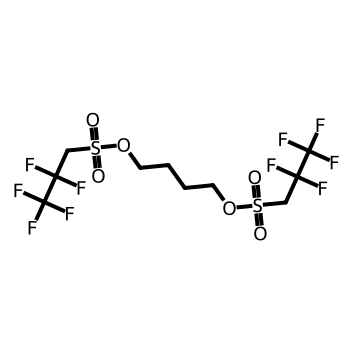 O=S(=O)(CC(F)(F)C(F)(F)F)OCCCCOS(=O)(=O)CC(F)(F)C(F)(F)F